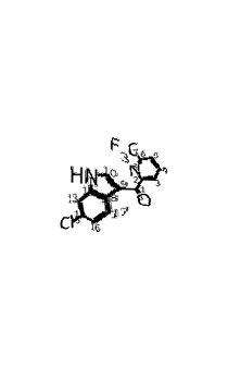 O=C(c1cccc(C(F)(F)F)n1)c1c[nH]c2cc(Cl)ccc12